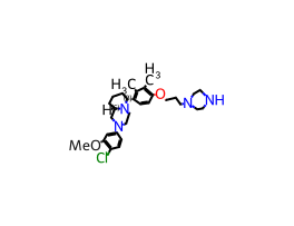 COc1cc(N2CCN3[C@@H](CCC[C@@H]3c3ccc(OCCCN4CCNCC4)c(C)c3C)C2)ccc1Cl